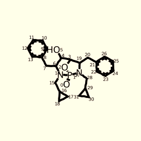 O=P12OC(C(O)C(Cc3ccccc3)N1CC1CC1)C(Cc1ccccc1)N2CC1CC1